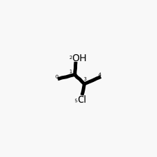 CC(O)C(C)Cl